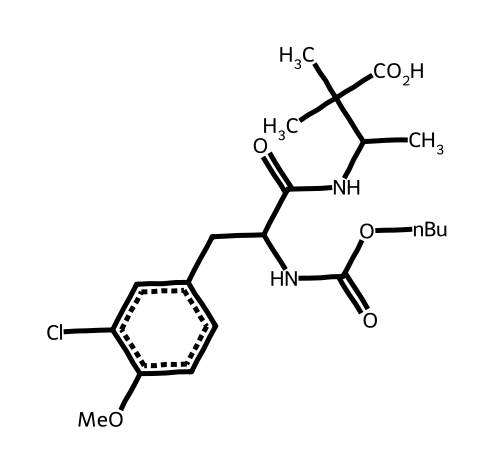 CCCCOC(=O)NC(Cc1ccc(OC)c(Cl)c1)C(=O)NC(C)C(C)(C)C(=O)O